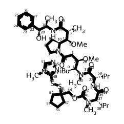 CC[C@H](C)[C@@H]([C@@H](CC(=O)N1CCC[C@H]1[C@H](OC)[C@@H](C)C(=O)N[C@H](C)[C@@H](O)c1ccccc1)OC)N(C)C(=O)[C@@H](NC(=O)[C@H](C(C)C)N(C)C(=O)OCC1(SSc2nncn2C)CCCC1)C(C)C